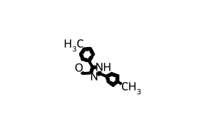 Cc1ccc(-c2nc(C=O)c(-c3ccc(C)cc3)[nH]2)cc1